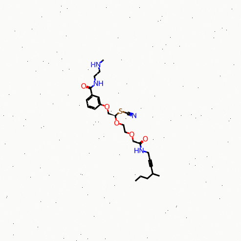 CCCC(C)C#CCNC(=O)COCCO[C@@H](COc1cccc(C(=O)NCCNC)c1)SC#N